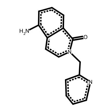 Nc1cccc2c(=O)n(Cc3ccccn3)ccc12